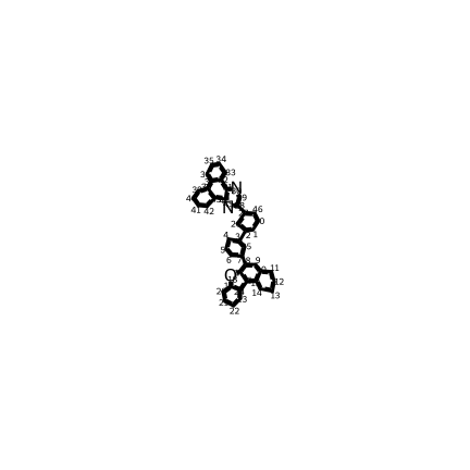 c1cc(-c2cccc(-c3cc4ccccc4c4c3oc3ccccc34)c2)cc(-c2cnc3c4ccccc4c4ccccc4c3n2)c1